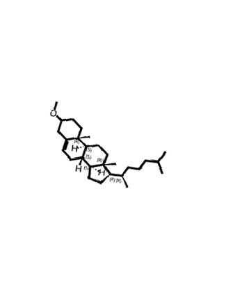 COC1CC[C@@]2(C)C(=CC[C@H]3[C@@H]4CC[C@H]([C@H](C)CCCC(C)C)[C@@]4(C)CC[C@@H]32)C1